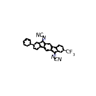 N#C/N=c1\c2cc(-c3ccccc3)ccc2c2cc3/c(=N/C#N)c4cc(C(F)(F)F)ccc4c3cc12